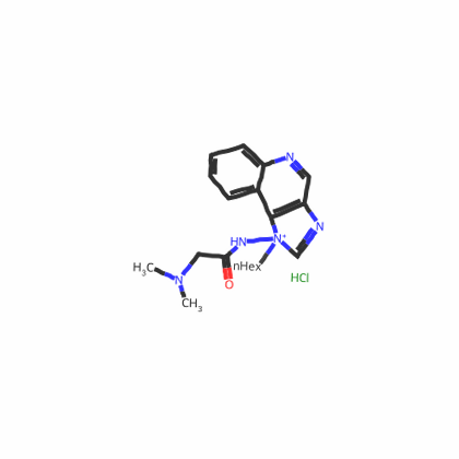 CCCCCC[N+]1(NC(=O)CN(C)C)C=Nc2cnc3ccccc3c21.Cl